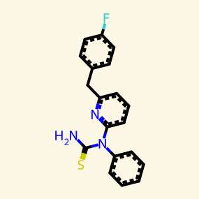 NC(=S)N(c1ccccc1)c1cccc(Cc2ccc(F)cc2)n1